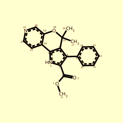 COC(=O)c1[nH]c2c(c1-c1ccccc1)C(C)(C)Oc1cnccc1-2